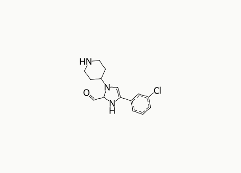 O=CC1NC(c2cccc(Cl)c2)=CN1C1CCNCC1